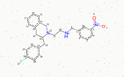 O=[N+]([O-])c1cccc(CNCCN2Cc3ccccc3CC2Cc2ccc(F)cc2)c1